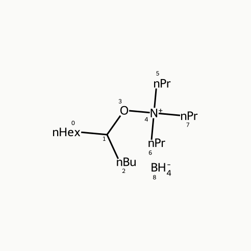 CCCCCCC(CCCC)O[N+](CCC)(CCC)CCC.[BH4-]